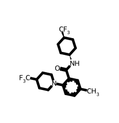 Cc1ccc(N2CCC(C(F)(F)F)CC2)c(C(=O)N[C@H]2CC[C@H](C(F)(F)F)CC2)c1